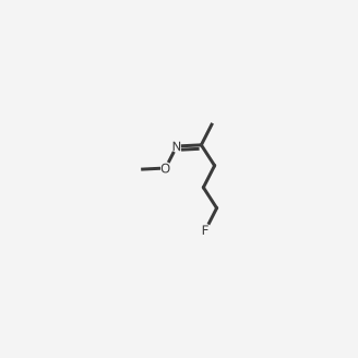 CO/N=C(/C)CCCF